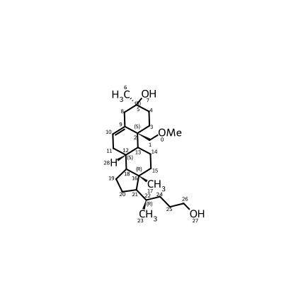 COC[C@]12CC[C@](C)(O)CC1=CC[C@@H]1C2CC[C@@]2(C)C1CCC2[C@H](C)CCCO